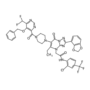 CCc1c(N2CCN(C(=O)c3ncnc(C(F)F)c3OCc3ccccc3)CC2)c(=O)n2nc(-c3cccc4c3OCO4)nc2n1CC(=O)Nc1ccc(C(F)(F)F)cc1Cl